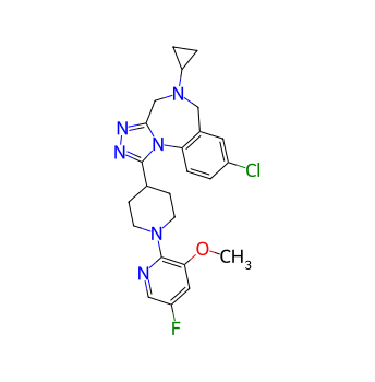 COc1cc(F)cnc1N1CCC(c2nnc3n2-c2ccc(Cl)cc2CN(C2CC2)C3)CC1